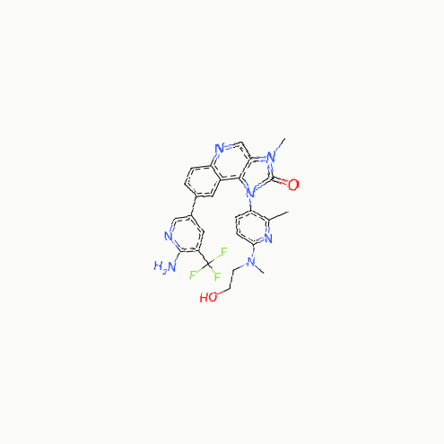 Cc1nc(N(C)CCO)ccc1-n1c(=O)n(C)c2cnc3ccc(-c4cnc(N)c(C(F)(F)F)c4)cc3c21